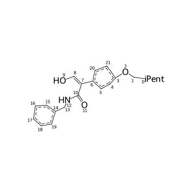 CCCC(C)COc1ccc(C(=CO)C(=O)NCc2ccccc2)cc1